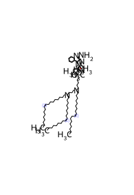 CCCCCCCC/C=C\CCCCCCCCN(CCCCCCCC/C=C\CCCCCCCC)CCCN(CCCCCCCC/C=C\CCCCCCCC)CCCCCC(=O)OC(C)(C)Cn1c(CNCC)nc2c(N)nc3ccccc3c21